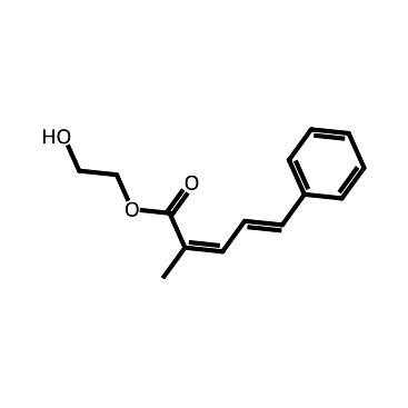 CC(=CC=Cc1ccccc1)C(=O)OCCO